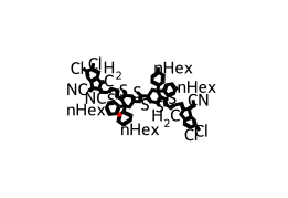 [C-]#[N+]/C(C#N)=C1\C(=C\c2cc3sc4c(c3s2)C(c2ccc(CCCCCC)cc2)(c2ccc(CCCCCC)cc2)Cc2c-4sc3c4c(sc23)-c2sc3cc(/C=C5\C(=C)c6cc(Cl)c(Cl)cc6\C5=C\C#N)sc3c2C(c2ccc(CCCCCC)cc2)(c2ccc(CCCCCC)cc2)C4)C(=C)c2cc(Cl)c(Cl)cc21